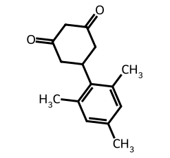 Cc1cc(C)c(C2CC(=O)CC(=O)C2)c(C)c1